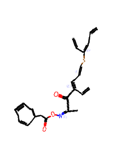 C=C/C=C(\C=C)S/C=C/C=C(\C=C)C(=O)/C(C)=N\OC(=O)C1C=CC=CC1